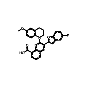 COc1ccc2c(c1)CCCN2c1nc2c(C(=O)O)cccc2nc1-c1cc2cc(F)ccc2o1